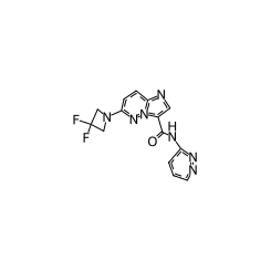 O=C(Nc1cccnn1)c1cnc2ccc(N3CC(F)(F)C3)nn12